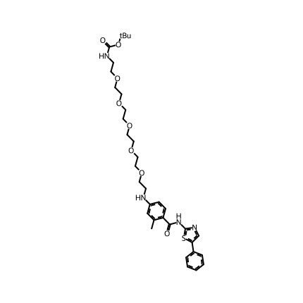 Cc1cc(NCCOCCOCCOCCOCCOCCNC(=O)OC(C)(C)C)ccc1C(=O)Nc1ncc(-c2ccccc2)s1